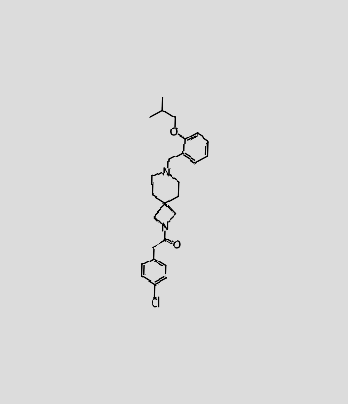 CC(C)COc1ccccc1CN1CCC2(CC1)CN(C(=O)Cc1ccc(Cl)cc1)C2